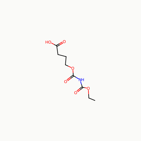 CCOC(=O)NC(=O)OCCCC(=O)O